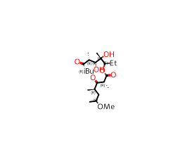 CC[C@@H](C)C(=O)[C@H](C)[C@@H](O)[C@](C)(O)[C@@H](CC)OC(=O)[C@H](C)C(=O)[C@H](C)C[C@H](C)OC